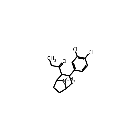 CCC(=O)C1C(c2ccc(Cl)c(Cl)c2)CC2CCC1N2C